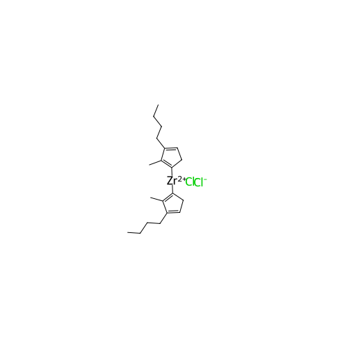 CCCCC1=CC[C]([Zr+2][C]2=C(C)C(CCCC)=CC2)=C1C.[Cl-].[Cl-]